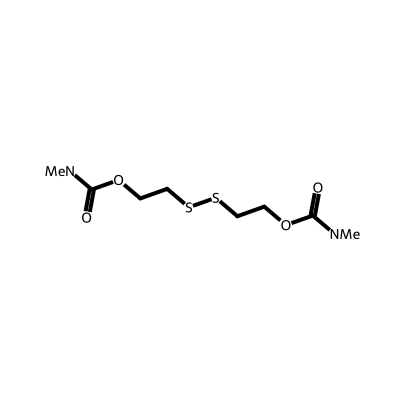 CNC(=O)OCCSSCCOC(=O)NC